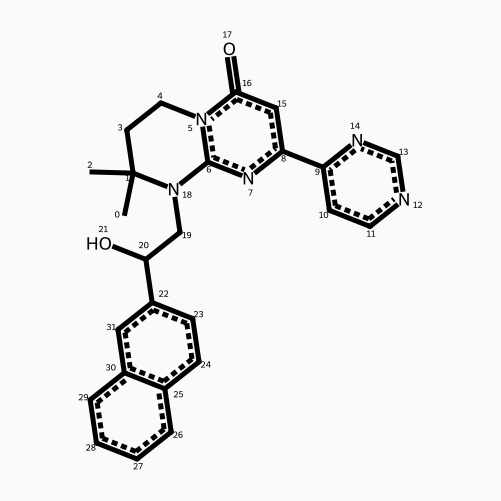 CC1(C)CCn2c(nc(-c3ccncn3)cc2=O)N1CC(O)c1ccc2ccccc2c1